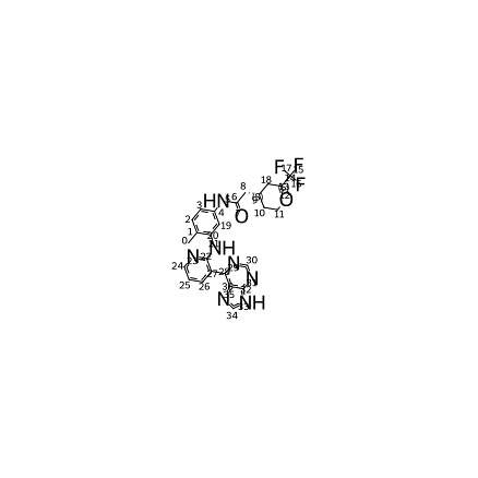 Cc1ccc(NC(=O)C[C@H]2CCO[C@H](C(F)(F)F)C2)cc1Nc1ncccc1-c1ncnc2[nH]cnc12